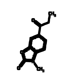 CCC(=O)c1ccc2c(c1)oc(=O)n2C